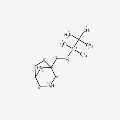 CC(C)(C)[Si](C)(C)OCC12CCC(CNC1)N2